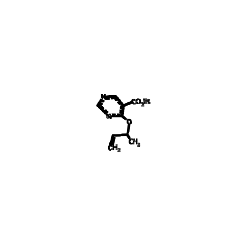 C=CC(C)Oc1ncncc1C(=O)OCC